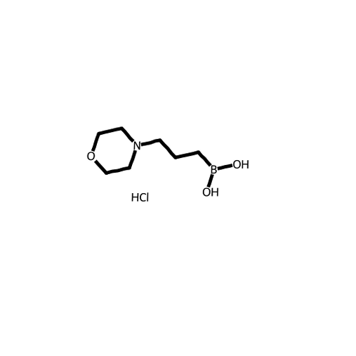 Cl.OB(O)CCCN1CCOCC1